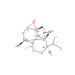 CC(C)[C@H]1CC[C@@]2(C)[C@@H]3CC4O[C@]4(C)[C@H]2[C@H]13